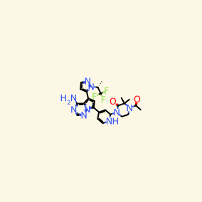 CC(=O)N1CCN(C2C=C(c3cc(-c4ccnn4[C@H](C)C(F)(F)F)c4c(N)ncnn34)C=CN2)C(=O)C1(C)C